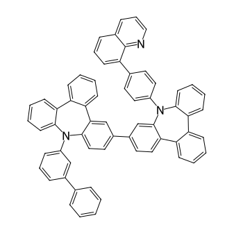 c1ccc(-c2cccc(N3c4ccccc4-c4ccccc4-c4cc(-c5ccc6c(c5)N(c5ccc(-c7cccc8cccnc78)cc5)c5ccccc5-c5ccccc5-6)ccc43)c2)cc1